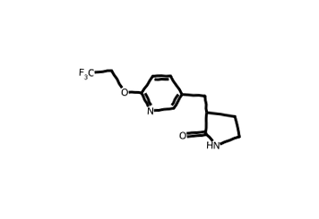 O=C1NCCC1Cc1ccc(OCC(F)(F)F)nc1